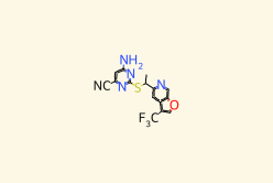 CC(Sc1nc(N)cc(C#N)n1)c1cc2c(C(F)(F)F)coc2cn1